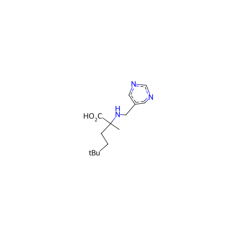 CC(C)(C)CCC(C)(NCc1cncnc1)C(=O)O